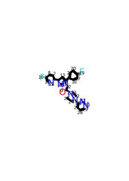 O=C(Cn1nc(-c2ccc(F)cn2)cc1-c1ccc(F)cc1)N1CCN(c2cccnn2)CC1